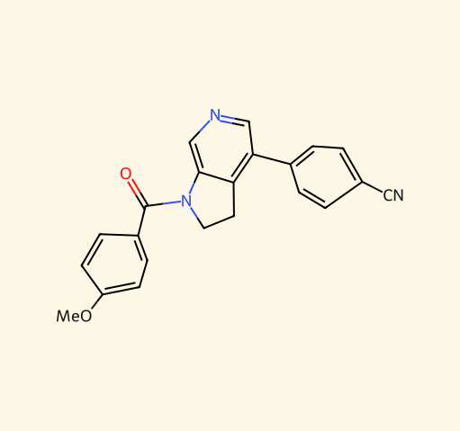 COc1ccc(C(=O)N2CCc3c(-c4ccc(C#N)cc4)cncc32)cc1